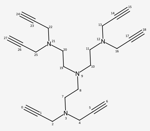 C#CCN(CC#C)CCN(CCN(CC#C)CC#C)CCN(CC#C)CC#C